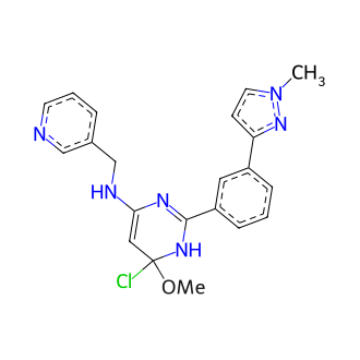 COC1(Cl)C=C(NCc2cccnc2)N=C(c2cccc(-c3ccn(C)n3)c2)N1